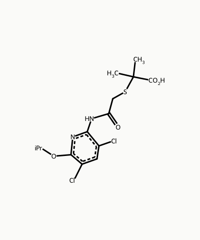 CC(C)Oc1nc(NC(=O)CSC(C)(C)C(=O)O)c(Cl)cc1Cl